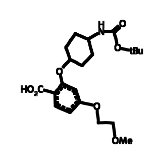 COCCOc1ccc(C(=O)O)c(OC2CCC(NC(=O)OC(C)(C)C)CC2)c1